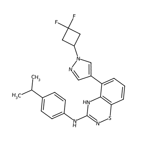 CC(C)c1ccc(NC2=NSc3cccc(-c4cnn(C5CC(F)(F)C5)c4)c3N2)cc1